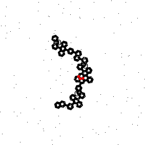 c1cc(-c2ccc3ccccc3c2)cc(-c2c3ccccc3c(-c3cccc4c3oc3ccc(-c5cc(-c6ccccc6-c6c7ccccc7c(-c7cccc8c7oc7cccc(-c9cccc%10c(-c%11ccc(-c%12c%13ccccc%13c(-c%13cccc%14c%13oc%13ccccc%13%14)c%13ccccc%12%13)cc%11)cccc9%10)c78)c7ccccc67)cc6ccccc56)cc34)c3ccccc23)c1